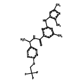 Cc1cc(C(=O)NC(C)c2ccc(OCC(F)(F)F)nc2)nc(Nc2cc(C)nn2C)n1